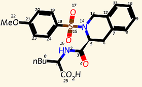 CCCCC(NC(=O)[C@@H]1Cc2ccccc2CN1S(=O)(=O)c1ccc(OC)cc1)C(=O)O